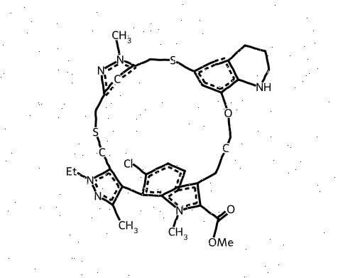 CCn1nc(C)c2c1CSCc1cc(n(C)n1)CSc1cc3c(c(c1)OCCCc1c(C(=O)OC)n(C)c4c-2c(Cl)ccc14)NCCC3